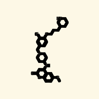 COc1ccc2oc(=O)cc(NC3CCN(Cc4ccc(OCCCC5CCCNC5)c(Cl)c4)CC3)c2c1